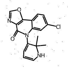 CC1(C)NC=CC=C1n1c(=O)c2ncoc2c2ccc(Cl)cc21